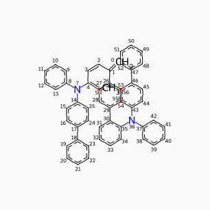 C=C(/C=C\C(=C/C)N(c1ccccc1)c1ccc(-c2ccccc2)cc1)c1ccc(-c2ccccc2N(c2ccccc2)c2ccc(-c3ccccc3)cc2)cc1